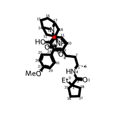 CCC1(C(=O)N[C@@H](C)CCc2ccc(N3C4CCC3CC(NS(=O)(=O)c3ccc(OC)cc3)C4)c(O)c2)CCCC1